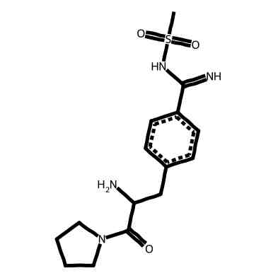 CS(=O)(=O)NC(=N)c1ccc(CC(N)C(=O)N2CCCC2)cc1